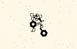 COc1ccc(OP(=O)(Cl)OC(=O)[C@@H](C)NOCc2ccccc2)cc1